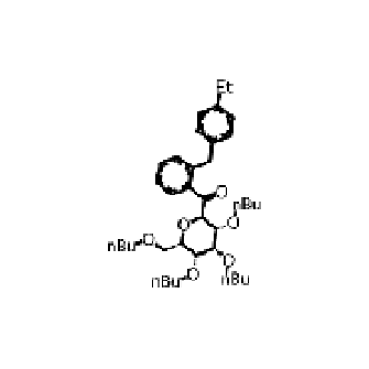 CCCCOC[C@H]1O[C@@H](C(=O)c2ccccc2Cc2ccc(CC)cc2)[C@H](OCCCC)[C@@H](OCCCC)[C@@H]1OCCCC